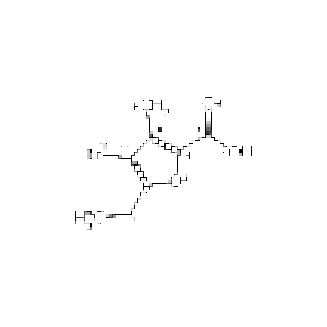 CCc1oc(C(=O)O)c(C)c1Br